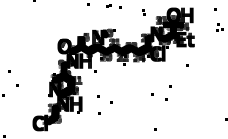 C=N/C(=C\C(=C)C(=O)NCc1ccc(N/C=C/Cl)nc1)CC/C=C/C=C(Cl)\C=N/CC(CC)C(C)(C)O